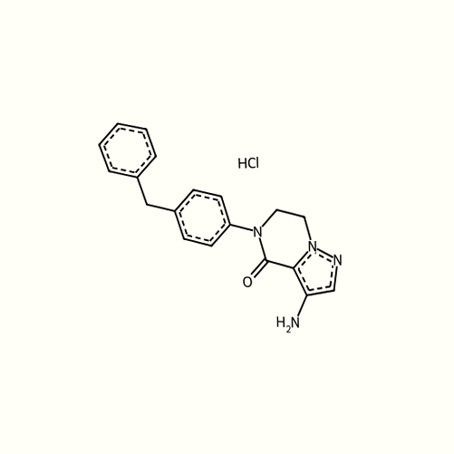 Cl.Nc1cnn2c1C(=O)N(c1ccc(Cc3ccccc3)cc1)CC2